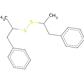 CC(Cc1ccccc1)SSC(C)Cc1ccccc1